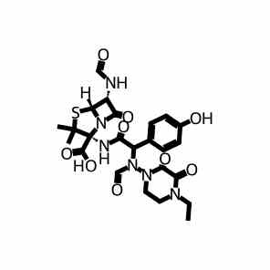 CCN1CCN(N(C=O)C(C(=O)N[C@@]2(C(=O)O)N3C(=O)[C@@H](NC=O)[C@H]3SC2(C)C)c2ccc(O)cc2)C(=O)C1=O